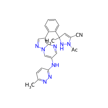 CC(=O)N1NC(C)(c2ccccc2-c2cnn3cc(Nc4ccc(C)nn4)cnc23)C=C1C#N